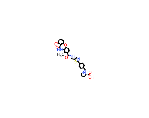 Cc1c(C(=O)NCc2cnc(-c3ccc(CN4CCC[C@H]4C(=O)O)cc3)s2)ccc2c1NC(=O)C1=C(C=CCC1=O)O2